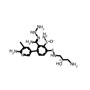 Cc1cc(-c2ccc(SNC[C@@H](O)CN)c([S+](N)[O-])c2/C(N)=N/NN)cnc1N